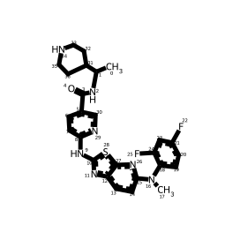 CC(NC(=O)c1ccc(Nc2nc3ccc(N(C)c4ccc(F)cc4F)nc3s2)nc1)C1CCNCC1